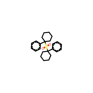 O=S(=O)(C1(c2ccccc2)CCCCC1)C1(c2ccccc2)CCCCC1